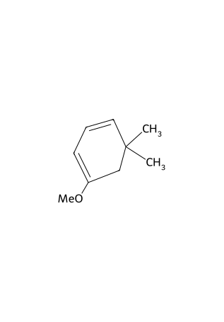 COC1=CC=CC(C)(C)C1